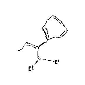 C/C=C(/c1ccccc1)N(CC)CC